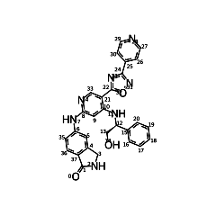 O=C1NCc2cc(Nc3cc(N[C@H](CO)c4ccccc4)c(-c4nc(-c5ccncc5)no4)cn3)ccc21